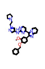 COc1cc(-c2nc3ccccn3c2-c2ccnc(Nc3cnn(CCN4CCCC4)c3)n2)ccc1OCc1ccccc1